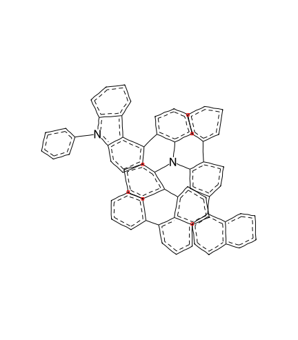 c1ccc(-c2ccc(-c3cccc4ccccc34)cc2N(c2ccccc2-c2cccc3cccc(-c4ccccc4)c23)c2ccccc2-c2cccc3c2c2ccccc2n3-c2ccccc2)cc1